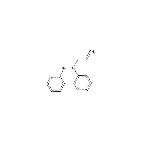 C=CCN(Nc1ccccc1)c1ccccc1